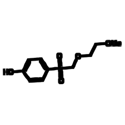 COCCOCS(=O)(=O)c1ccc(O)cc1